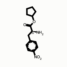 N[C@@H](Cc1ccc([N+](=O)[O-])cc1)C(=O)OC1CCCC1